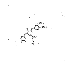 COc1ccc(/C=C2\CN(C(=O)CCN(C)C)C/C(=C\c3ccc(C)c(C)c3)C2=O)cc1OC